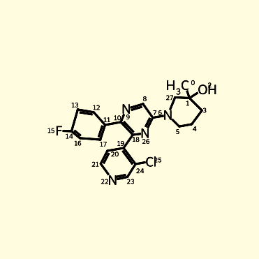 CC1(O)CCCN(c2cnc(-c3ccc(F)cc3)c(-c3ccncc3Cl)n2)C1